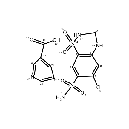 NS(=O)(=O)c1cc2c(cc1Cl)NCNS2(=O)=O.O=C(O)c1cccnc1